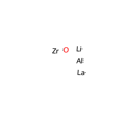 [Al].[La].[Li].[O].[Zr]